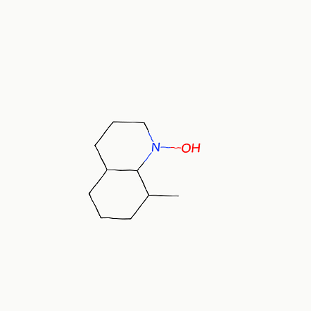 CC1CCCC2CCCN(O)C12